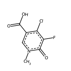 Cn1cc(C(=O)O)c(Cl)c(F)c1=O